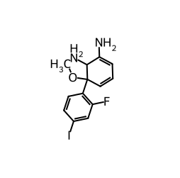 COC1(c2ccc(I)cc2F)C=CC=C(N)C1N